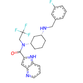 O=C(c1cc2ncccc2[nH]1)N(CC(F)(F)F)[C@H]1CCC[C@@H](NCc2cccc(F)c2)C1